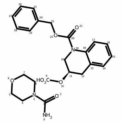 NC(=O)N1CCOCC1.O=C(O)O[C@@H]1Cc2ccccc2N(C(=O)OCc2ccccc2)C1